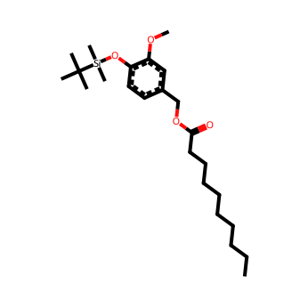 CCCCCCCCCC(=O)OCc1ccc(O[Si](C)(C)C(C)(C)C)c(OC)c1